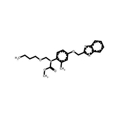 CCCCOCN(C(=O)OC)c1ccc(OCc2nc3ccccc3s2)cc1C